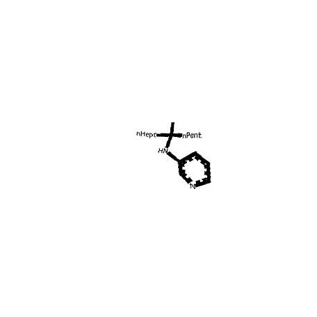 CCCCCCCC(C)(CCCCC)Nc1cccnc1